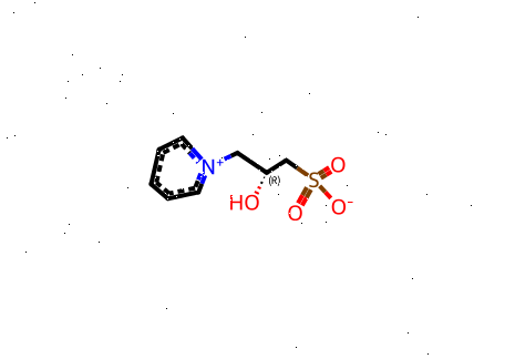 O=S(=O)([O-])C[C@H](O)C[n+]1ccccc1